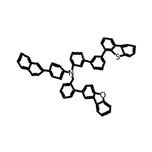 c1cc(-c2cccc(N(Cc3ccccc3-c3ccc4oc5ccccc5c4c3)c3ccc(-c4ccc5ccccc5c4)cc3)c2)cc(-c2cccc3c2sc2ccccc23)c1